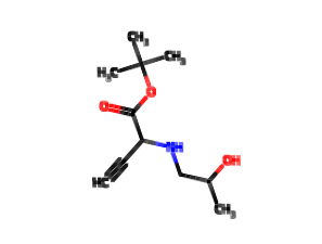 C#CC(NCC(C)O)C(=O)OC(C)(C)C